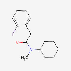 CN(C(=O)Cc1ccccc1I)C1CCCCC1